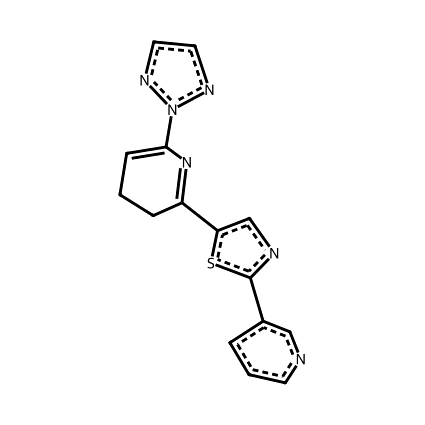 C1=C(n2nccn2)N=C(c2cnc(-c3cccnc3)s2)CC1